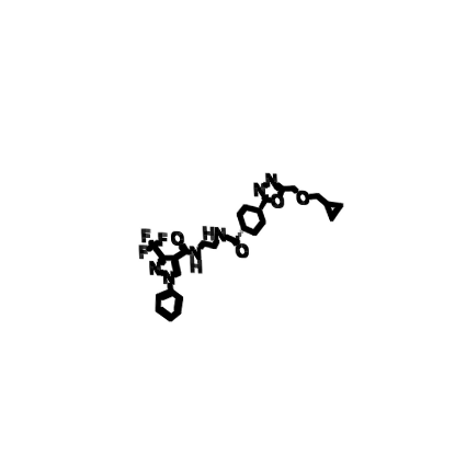 O=C(NCCNC(=O)[C@H]1CC[C@H](c2nnc(COCC3CC3)o2)CC1)c1cn(-c2ccccc2)nc1C(F)(F)F